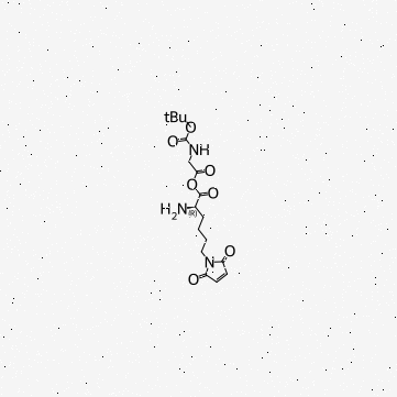 CC(C)(C)OC(=O)NCC(=O)OC(=O)[C@H](N)CCCCN1C(=O)C=CC1=O